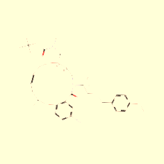 COc1ccc(COC[C@H](C)N2C[C@@H](C)[C@H](CN(C)C(=O)OC(C)(C)C)OCC=CCC(C)Oc3ccc(N)cc3C2=O)cc1